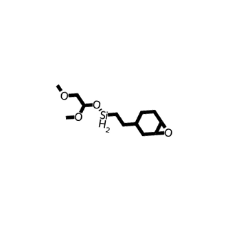 COCC(OC)O[SiH2]CCC1CCC2OC2C1